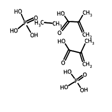 C=C(C)C(=O)O.C=C(C)C(=O)O.CC.O=P(O)(O)O.O=P(O)(O)O